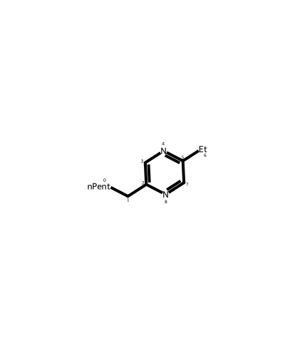 [CH2]CCCCCc1cnc(CC)cn1